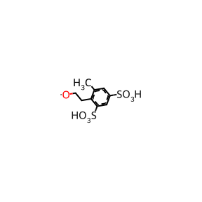 Cc1cc(S(=O)(=O)O)cc(S(=O)(=O)O)c1CC[O]